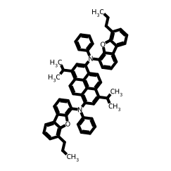 CCCc1cccc2c1oc1c(N(c3ccccc3)c3cc(C(C)C)c4ccc5c(N(c6ccccc6)c6cccc7c6oc6c(CCC)cccc67)cc(C(C)C)c6ccc3c4c65)cccc12